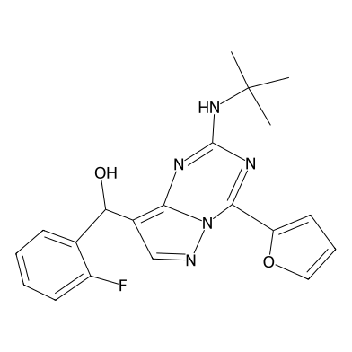 CC(C)(C)Nc1nc(-c2ccco2)n2ncc(C(O)c3ccccc3F)c2n1